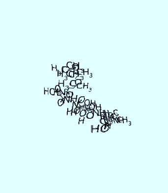 CCC(C)(C)NC(CC(=O)O)C(=O)NCCNC(=O)[C@@H](O)[C@H](O)[C@H](O)[C@@H](O)C(=O)NCCNC(=O)C(CC(=O)O)NC(=O)CCC(C)(C)OCCC(C)(C)C(=O)C(C)(C)C